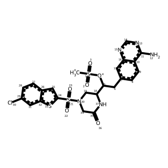 CS(=O)(=O)OC(Cc1ccc2c(N)ncnc2c1)C1CN(S(=O)(=O)c2cc3ccc(Cl)cc3s2)CC(=O)N1